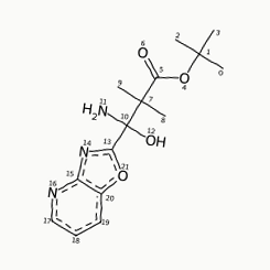 CC(C)(C)OC(=O)C(C)(C)C(N)(O)c1nc2ncccc2o1